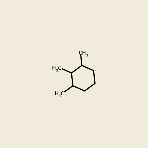 CC1[CH]CCC(C)C1C